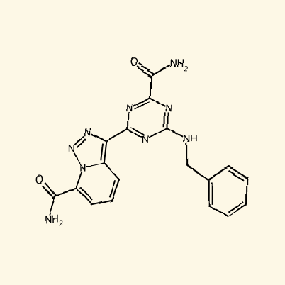 NC(=O)c1nc(NCc2ccccc2)nc(-c2nnn3c(C(N)=O)cccc23)n1